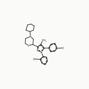 Cc1c(C2CN(C3CCCCC3)CCO2)nn(-c2ccccc2Cl)c1-c1ccc(Cl)cc1